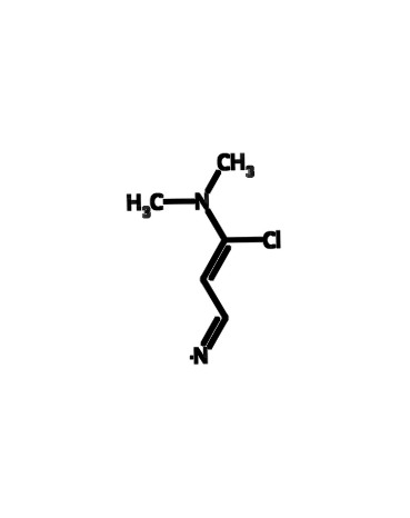 CN(C)C(Cl)=CC=[N]